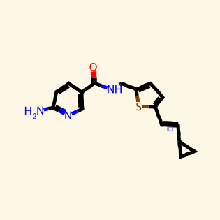 Nc1ccc(C(=O)NCc2ccc(/C=C/C3CC3)s2)cn1